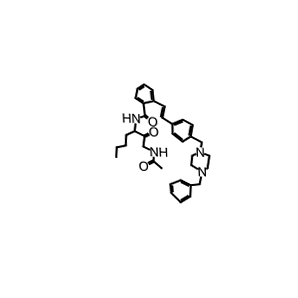 CCCCC(NC(=O)c1ccccc1C=Cc1ccc(CN2CCN(Cc3ccccc3)CC2)cc1)C(=O)CNC(C)=O